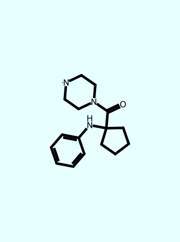 O=C(N1CC[N]CC1)C1(Nc2ccccc2)CCCC1